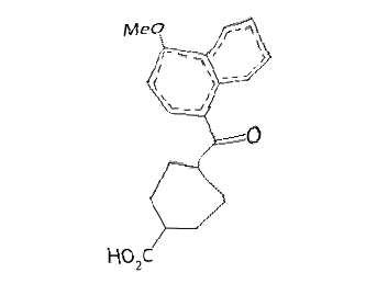 COc1ccc(C(=O)C2CCC(C(=O)O)CC2)c2ccccc12